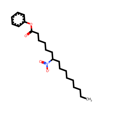 CCCCCCCCCC(CCCCCC(=O)Oc1ccccc1)[N+](=O)[O-]